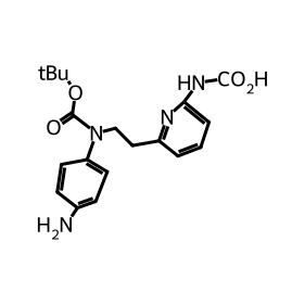 CC(C)(C)OC(=O)N(CCc1cccc(NC(=O)O)n1)c1ccc(N)cc1